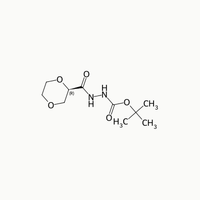 CC(C)(C)OC(=O)NNC(=O)[C@H]1COCCO1